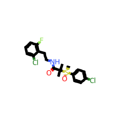 C=S(=O)(c1ccc(Cl)cc1)C(C)(C)C(=O)NCCc1c(F)cccc1Cl